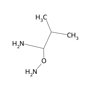 CC(C)C(N)ON